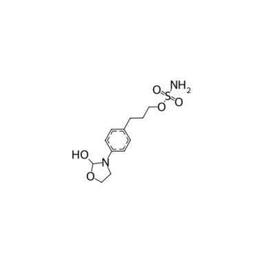 NS(=O)(=O)OCCCc1ccc(N2CCOC2O)cc1